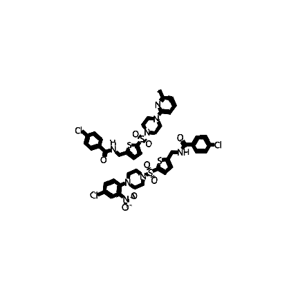 Cc1cccc(N2CCN(S(=O)(=O)c3ccc(CNC(=O)c4ccc(Cl)cc4)s3)CC2)n1.O=C(NCc1ccc(S(=O)(=O)N2CCN(c3ccc(Cl)cc3[N+](=O)[O-])CC2)s1)c1ccc(Cl)cc1